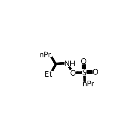 CCCC(CC)NOS(=O)(=O)CCC